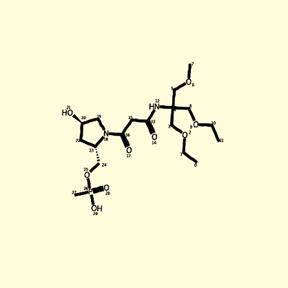 CCOCC(COC)(COCC)NC(=O)CC(=O)N1C[C@H](O)C[C@H]1COP(C)(=O)O